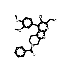 COc1ccc(-c2c(Cl)c(CCl)nc3sc4c(c23)CCN(C(=O)c2ccccc2)C4)cc1OC